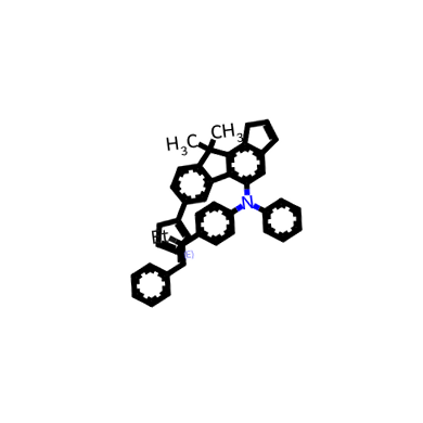 CC/C(=C\c1ccccc1)c1ccc(N(c2ccccc2)c2cc3c(c4c2-c2cc(C5=CC=CC5)ccc2C4(C)C)CC=C3)cc1